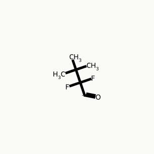 CC(C)(C)C(F)(F)[C]=O